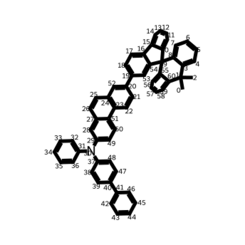 CC1(C)c2ccccc2C2(c3ccccc3-c3ccc(-c4ccc5c(ccc6cc(N(c7ccccc7)c7ccc(-c8ccccc8)cc7)ccc65)c4)cc32)c2ccccc21